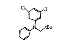 CC(C)(C)CN(c1ccccc1)c1cc(Cl)cc(Cl)c1